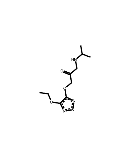 CCOc1nsnc1OCC(=O)CNC(C)C